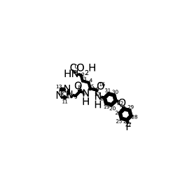 O=C(O)NCCCC(NC(=O)Cn1cncn1)C(=O)Nc1ccc(Oc2ccc(F)cc2)cc1